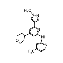 Cn1cc(-c2cc(C3CCOCC3)cc(Nc3cc(C(F)(F)F)ccn3)n2)cn1